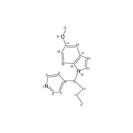 CCCC(c1ccncc1)n1ccc2cc(OC)ccc21